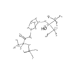 CC(C)(C)CC1(C(=O)OC2CC3CC(CC(O)(C(F)(F)F)C(F)(F)F)C2C3)CC1(C)C